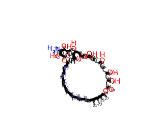 CC1OC(O[C@H]2/C=C/C=C/C=C/C=C/C=C/C=C/C=C/[C@H](C)[C@@H](C)[C@@H](C)[C@H](C)OC(=O)C[C@H](O)C[C@H](O)CC[C@@H](O)CC[C@H](O)C[C@]3(O)C[C@H](O)[C@@H](C(=O)O)[C@H](C2)O3)C(O)C(N)C1O